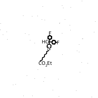 CCOC(=O)CCCCCCCCN1CCC(C(O)(c2ccc(F)cc2)c2ccc(F)cc2)CC1